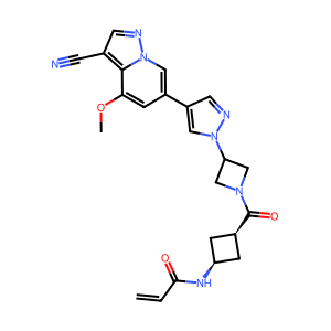 C=CC(=O)N[C@H]1C[C@@H](C(=O)N2CC(n3cc(-c4cc(OC)c5c(C#N)cnn5c4)cn3)C2)C1